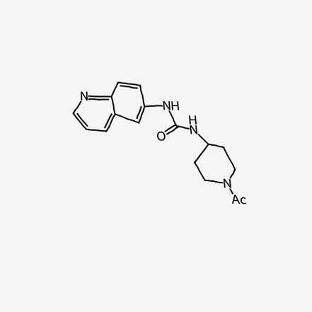 CC(=O)N1CCC(NC(=O)Nc2ccc3ncccc3c2)CC1